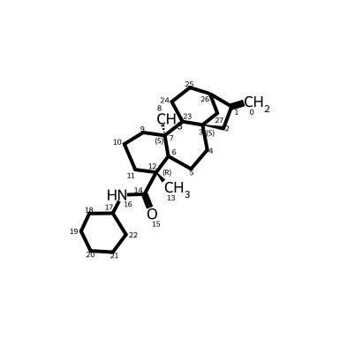 C=C1C[C@@]23CCC4[C@@](C)(CCC[C@@]4(C)C(=O)NC4CCCCC4)C2CCC1C3